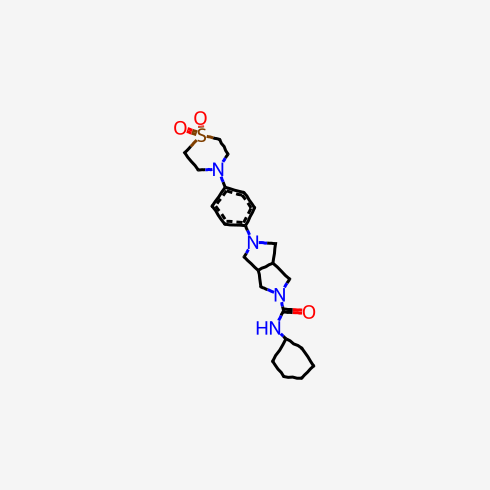 O=C(NC1CCCCC1)N1CC2CN(c3ccc(N4CCS(=O)(=O)CC4)cc3)CC2C1